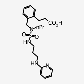 CCCN(Cc1ccccc1CCC(=O)O)S(=O)(=O)NCCCNc1ccccn1